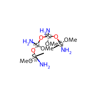 CO[Si@](C)(N)O[Si@](N)(OC)O[Si@](N)(OC)O[Si@](C)(N)OC